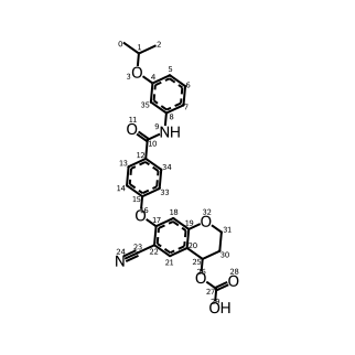 CC(C)Oc1cccc(NC(=O)c2ccc(Oc3cc4c(cc3C#N)C(OC(=O)O)CCO4)cc2)c1